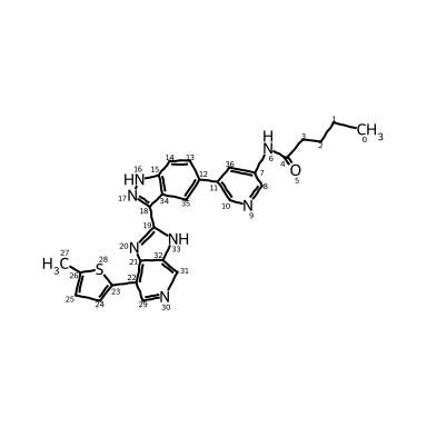 CCCCC(=O)Nc1cncc(-c2ccc3[nH]nc(-c4nc5c(-c6ccc(C)s6)cncc5[nH]4)c3c2)c1